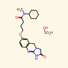 CN(C(=O)CCCOc1ccc2c(c1)CN1CC(=O)NC1=N2)C1CCCCC1.O=S(=O)(O)O